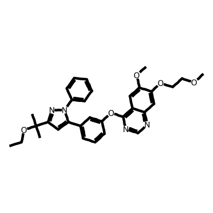 CCOC(C)(C)c1cc(-c2cccc(Oc3ncnc4cc(OCCOC)c(OC)cc34)c2)n(-c2ccccc2)n1